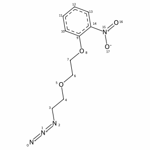 [N-]=[N+]=NCCOCCOc1ccccc1[N+](=O)[O-]